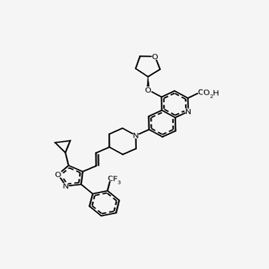 O=C(O)c1cc(O[C@H]2CCOC2)c2cc(N3CCC(/C=C/c4c(-c5ccccc5C(F)(F)F)noc4C4CC4)CC3)ccc2n1